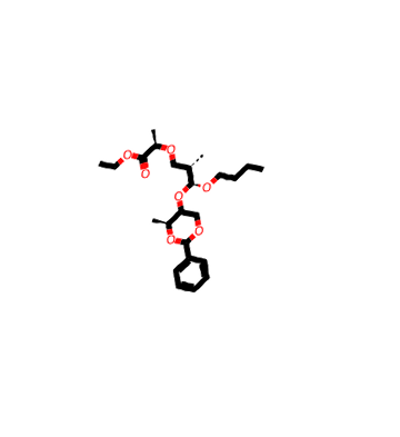 CCCCO[C@H](OC1COC(c2ccccc2)O[C@H]1C)[C@@H](C)CO[C@H](C)C(=O)OCC